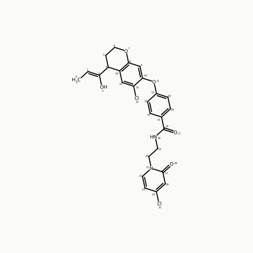 C/C=C(\O)C1CCOc2cc(Oc3ccc(C(=O)NCCn4ccc(Cl)cc4=O)cc3)c(Cl)cc21